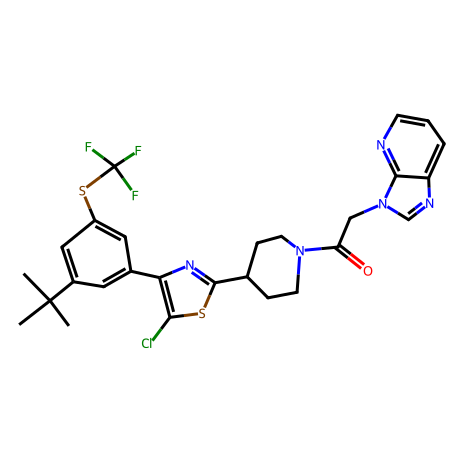 CC(C)(C)c1cc(SC(F)(F)F)cc(-c2nc(C3CCN(C(=O)Cn4cnc5cccnc54)CC3)sc2Cl)c1